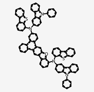 c1ccc(-n2c3ccccc3c3cc(N(c4ccc5c(c4)c4ccccc4c4cc6c(cc54)oc4c(N(c5ccc7c(c5)c5ccccc5n7-c5ccccc5)c5cccc7c5sc5ccccc57)cccc46)c4cccc5c4sc4ccccc45)ccc32)cc1